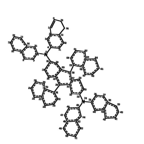 C1=Cc2cc(N(c3ccc4ccccc4c3)c3ccc4c(-c5cccc6ccccc56)c5cc(N(c6ccc7ccccc7c6)c6ccc7ccccc7c6)ccc5c(-c5cccc6ccccc56)c4c3)ccc2CC1